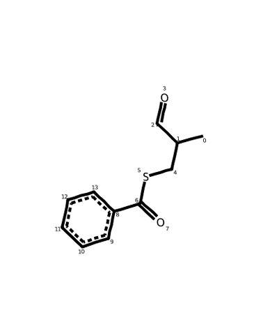 CC([C]=O)CSC(=O)c1ccccc1